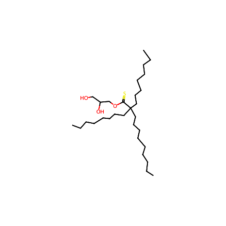 CCCCCCCCCC(CCCCCCCC)(CCCCCCCC)C(=S)OCC(O)CO